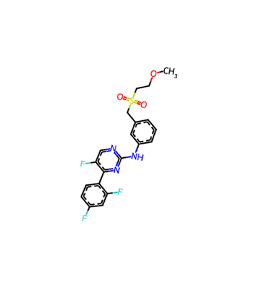 COCCS(=O)(=O)Cc1cccc(Nc2ncc(F)c(-c3ccc(F)cc3F)n2)c1